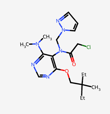 CCC(C)(CC)COc1ncnc(N(C)C)c1N(Cn1cccn1)C(=O)CCl